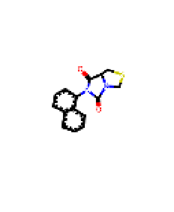 O=C1C2CSCN2C(=O)N1c1cccc2ccccc12